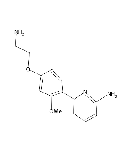 COc1cc(OCCN)ccc1-c1cccc(N)n1